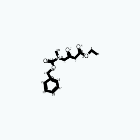 CCOC(=O)CC(=O)CN(C)C(=O)OCc1ccccc1